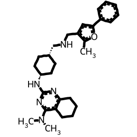 Cc1oc(-c2ccccc2)cc1CNC[C@H]1CC[C@@H](Nc2nc3c(c(N(C)C)n2)CCCC3)CC1